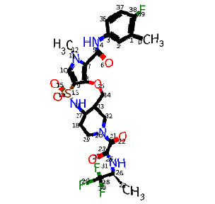 Cc1cc(NC(=O)c2c3c(cn2C)S(=O)(=O)NC2CCN(C(=O)C(=O)N[C@@H](C)C(F)(F)F)CC2CO3)ccc1F